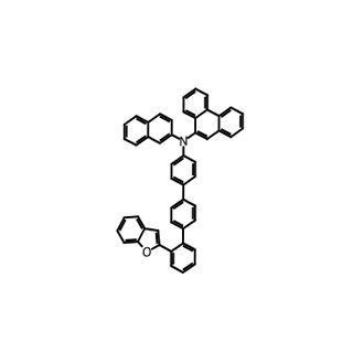 c1ccc(-c2cc3ccccc3o2)c(-c2ccc(-c3ccc(N(c4ccc5ccccc5c4)c4cc5ccccc5c5ccccc45)cc3)cc2)c1